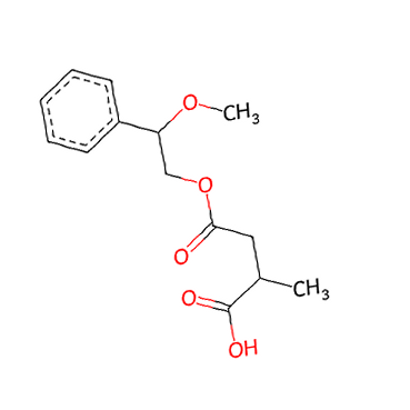 COC(COC(=O)CC(C)C(=O)O)c1ccccc1